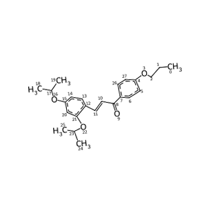 CCCOc1ccc(C(=O)C=Cc2ccc(OC(C)C)cc2OC(C)C)cc1